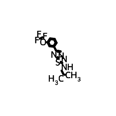 CC(C)CNc1nn2cc(-c3cccc(OC(F)(F)F)c3)nc2s1